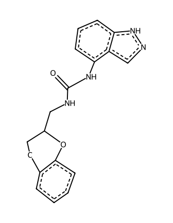 O=C(NCC1CCc2ccccc2O1)Nc1cccc2[nH]ncc12